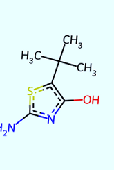 CC(C)(C)c1sc(N)nc1O